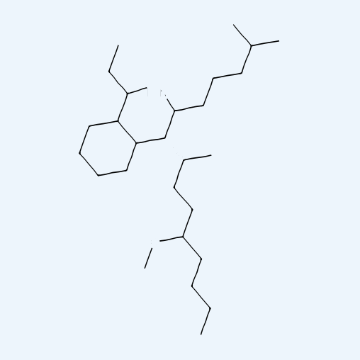 CCCCC(CCC(C)[C@@H](C(N)CCCC(C)C)C1CCCCC1C(C)CC)OC